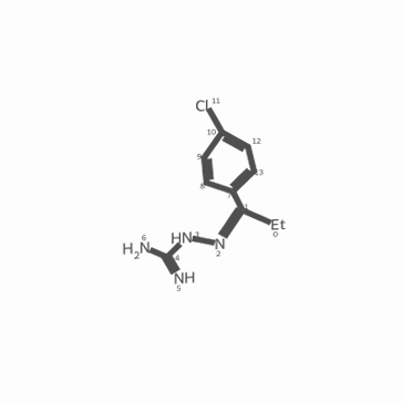 CC/C(=N/NC(=N)N)c1ccc(Cl)cc1